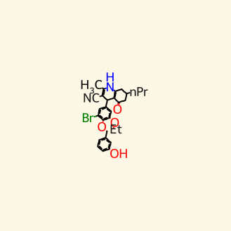 CCCC1CC(=O)C2=C(C1)NC(C)=C(C#N)C2c1cc(Br)c(OCc2cccc(O)c2)c(OCC)c1